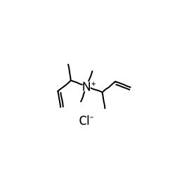 C=CC(C)[N+](C)(C)C(C)C=C.[Cl-]